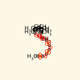 COCCOCCOc1ccc(C(C)(C)CC(C)(C)CC(C)(C)c2ccc(C(C)(C)CC(C)(C)CC(C)(C)c3ccc(OCCOCCOc4ccc(S(=O)(=O)c5ccc(Oc6ccc(S(=O)(=O)c7ccc(Oc8ccc(S(=O)(=O)c9ccc(C)cc9)cc8)cc7)cc6)cc5)cc4)cc3)cc2)cc1